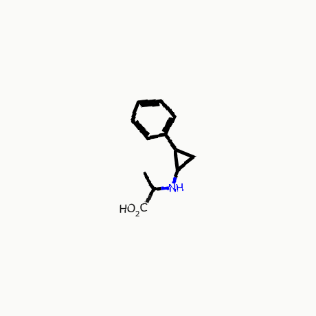 CC(NC1CC1c1ccccc1)C(=O)O